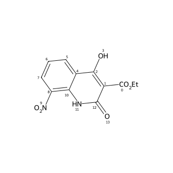 CCOC(=O)c1c(O)c2cccc([N+](=O)[O-])c2[nH]c1=O